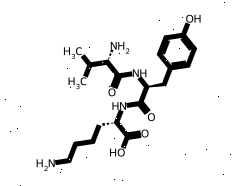 CC(C)[C@H](N)C(=O)N[C@@H](Cc1ccc(O)cc1)C(=O)N[C@@H](CCCCN)C(=O)O